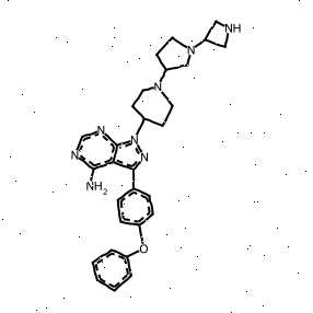 Nc1ncnc2c1c(-c1ccc(Oc3ccccc3)cc1)nn2C1CCN(C2CCN(C3CNC3)C2)CC1